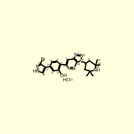 CC1(C)CC(n2nnc3cc(-c4ccc(-c5c[nH]nc5Br)cc4O)nnc32)CC(C)(C)N1.Cl